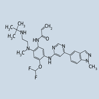 C=CC(=O)Nc1cc(Nc2cc(-c3ccc4c(cnn4C)c3)ncn2)c(OC(F)F)cc1N(C)CCNC(C)(C)C